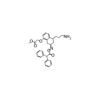 COC(=O)COc1cccc2c1CC(=NOC(=O)C(c1ccccc1)c1ccccc1)CC2CCCN